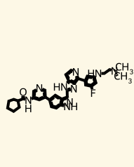 CN(C)CCNc1cc(F)cc(-c2nccc3[nH]c(-c4n[nH]c5ccc(-c6cncc(NC(=O)C7CCCCC7)c6)cc45)nc23)c1